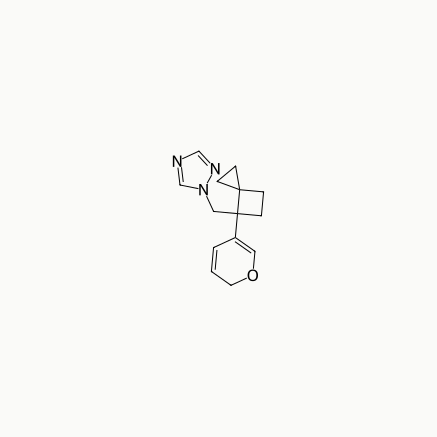 C1=CC(C2(Cn3cncn3)CCC23CC3)=COC1